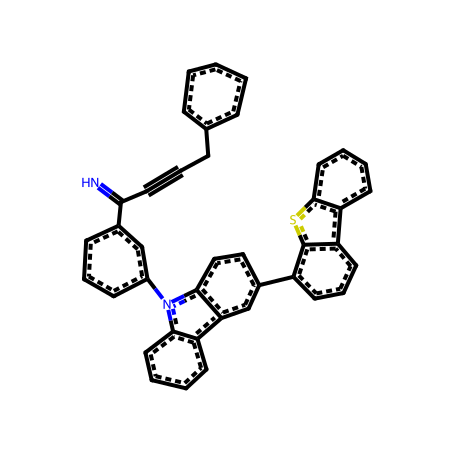 N=C(C#CCc1ccccc1)c1cccc(-n2c3ccccc3c3cc(-c4cccc5c4sc4ccccc45)ccc32)c1